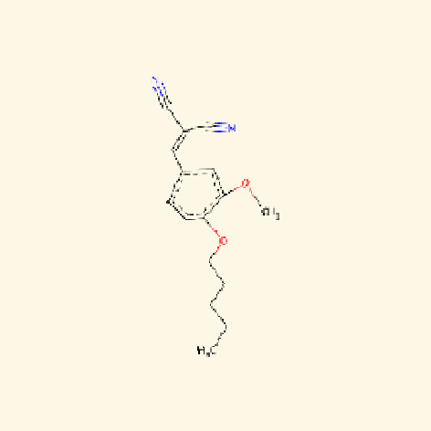 CCCCCOc1ccc(C=C(C#N)C#N)cc1OC